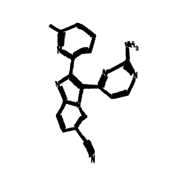 Cc1cccc(-c2nc3ccc(C#N)cn3c2-c2ccnc(N)n2)n1